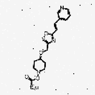 CC(C)(C)C(=O)ON1CCC(OCc2noc(/C=C/c3cccnc3)n2)CC1